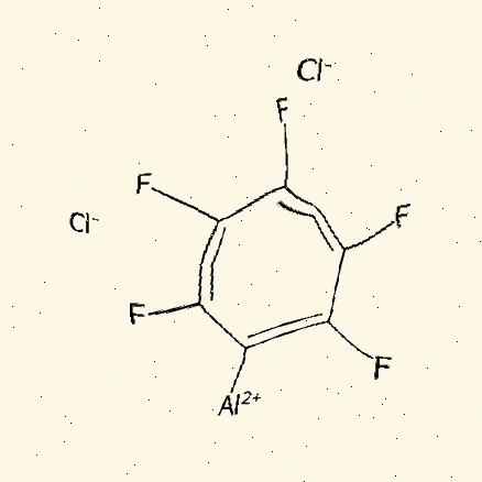 Fc1c(F)c(F)[c]([Al+2])c(F)c1F.[Cl-].[Cl-]